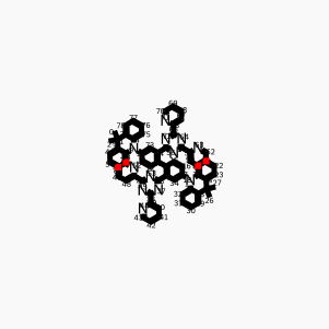 CC1(C)c2ccccc2N(c2ccc(-c3ccc(N4c5ccccc5C(C)(C)c5ccccc54)cc3-c3nc(-c4ccccn4)nc(-c4ccccn4)n3)c(-c3nc(-c4ccccn4)nc(-c4ccccn4)n3)c2)c2ccccc21